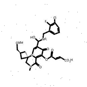 COC[C@H]1C[C@]2(CN(C)C(=O)c3c(OC(=O)/C=C/C(=O)O)c(=O)c(C(O)NCc4cccc(Cl)c4F)cn32)C1